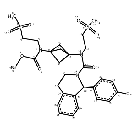 CC(C)(C)OC(=O)N(CCS(C)(=O)=O)C12CC(N(CCS(C)(=O)=O)C(=O)N3CCc4ccccc4[C@@H]3c3ccc(F)cc3)(C1)C2